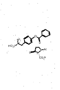 CC(=O)N1CCC(=S)[C@H]1C(=O)O.N[C@@H](Cc1ccc(OC(=O)c2ccccc2)cc1)C(=O)O